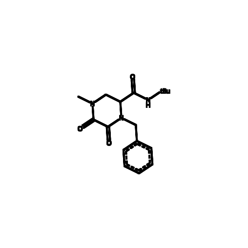 CN1CC(C(=O)NC(C)(C)C)N(Cc2ccccc2)C(=O)C1=O